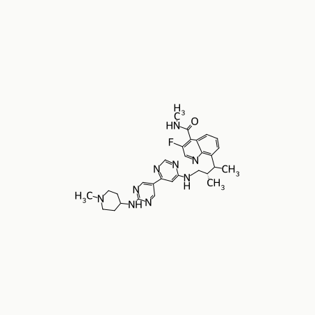 CNC(=O)c1c(F)cnc2c(C(C)[C@H](C)CNc3cc(-c4cnc(NC5CCN(C)CC5)nc4)ncn3)cccc12